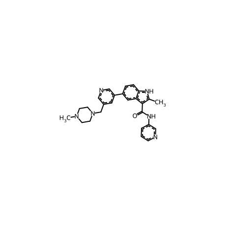 Cc1[nH]c2ccc(-c3cncc(CN4CCN(C)CC4)c3)cc2c1C(=O)Nc1cccnc1